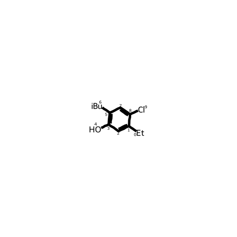 CCc1cc(O)c(C(C)CC)cc1Cl